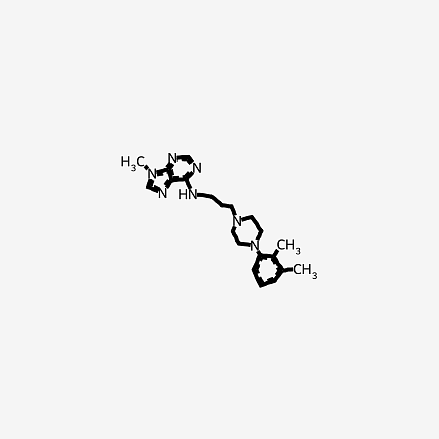 Cc1cccc(N2CCN(CCCNc3ncnc4c3ncn4C)CC2)c1C